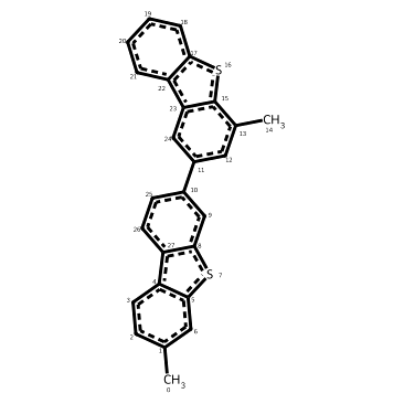 Cc1ccc2c(c1)sc1cc(-c3cc(C)c4sc5ccccc5c4c3)ccc12